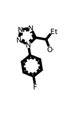 CCC([O])c1nnnn1-c1ccc(F)cc1